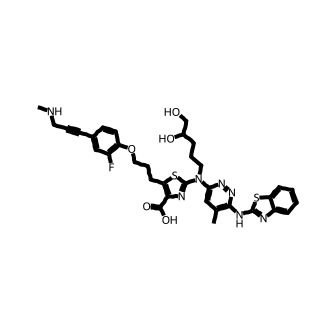 CNCC#Cc1ccc(OCCCc2sc(N(CCCC(O)CO)c3cc(C)c(Nc4nc5ccccc5s4)nn3)nc2C(=O)O)c(F)c1